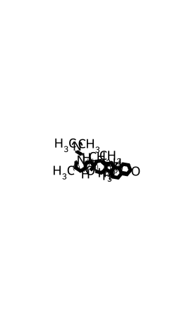 CC1=C2C[C@H]3[C@@H](CCC4=CC(=O)CC[C@@]43C)[C@@H]2CC[C@@]2(C1)O[C@@H]1C[C@H](C)CN(CCN(C)C)[C@H]1[C@H]2C